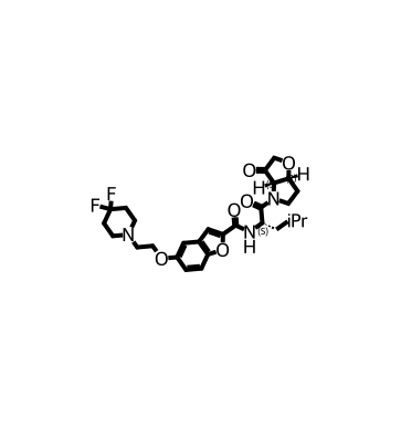 CC(C)C[C@H](NC(=O)c1cc2cc(OCCN3CCC(F)(F)CC3)ccc2o1)C(=O)N1CC[C@H]2OCC(=O)[C@H]21